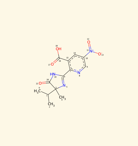 CC(C)C1(C)N=C(c2ncc([N+](=O)[O-])cc2C(=O)O)NC1=O